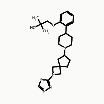 CC(C)(O)COc1ccccc1C1CCN(C2CCC3(C2)CN(c2nncs2)C3)CC1